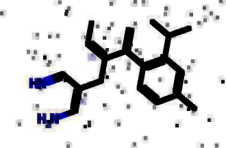 C=C(/C(=C\C)C/C(C=N)=C/N)c1ccc(C)cc1C(C)C